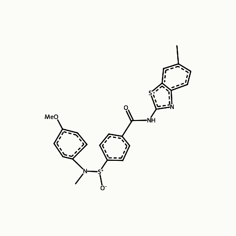 COc1ccc(N(C)[S+]([O-])c2ccc(C(=O)Nc3nc4ccc(C)cc4s3)cc2)cc1